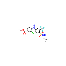 CCOC(=O)c1ccc(Nc2ccc(S(=O)(=O)NCC3CC3)c(C(F)(F)F)c2)c(Cl)c1